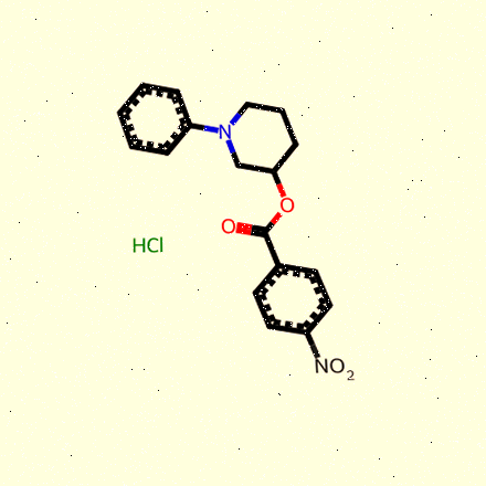 Cl.O=C(OC1CCCN(c2ccccc2)C1)c1ccc([N+](=O)[O-])cc1